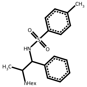 CCCCCCC(C)C(NS(=O)(=O)c1ccc(C)cc1)c1ccccc1